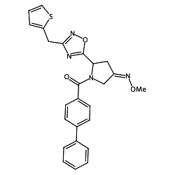 CON=C1CC(c2nc(Cc3cccs3)no2)N(C(=O)c2ccc(-c3ccccc3)cc2)C1